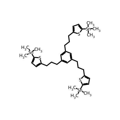 [CH3][Sn]([CH3])([CH3])[c]1ccc(CCCc2cc(CCCc3cc[c]([Sn]([CH3])([CH3])[CH3])s3)cc(CCCc3cc[c]([Sn]([CH3])([CH3])[CH3])s3)c2)s1